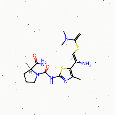 C=C(S/C=C(\N)c1sc(NC(=O)N2CCC[C@@]2(C)C(N)=O)nc1C)N(C)C